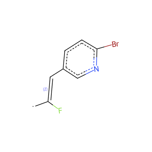 [CH2]/C(F)=C/c1ccc(Br)nc1